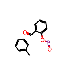 Cc1ccccc1.O=Cc1ccccc1OP=O